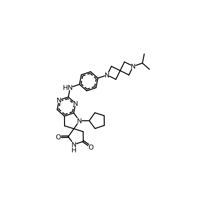 CC(C)N1CC2(CN(c3ccc(Nc4ncc5c(n4)N(C4CCCC4)C4(CC(=O)NC4=O)C5)cc3)C2)C1